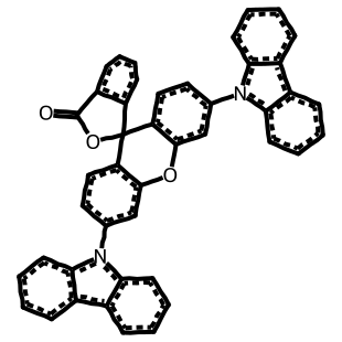 O=C1OC2(c3ccc(-n4c5ccccc5c5ccccc54)cc3Oc3cc(-n4c5ccccc5c5ccccc54)ccc32)c2ccccc21